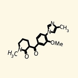 COc1cc(C(=O)C2CCCN(C)C2=O)ccc1-n1cnc(C)c1